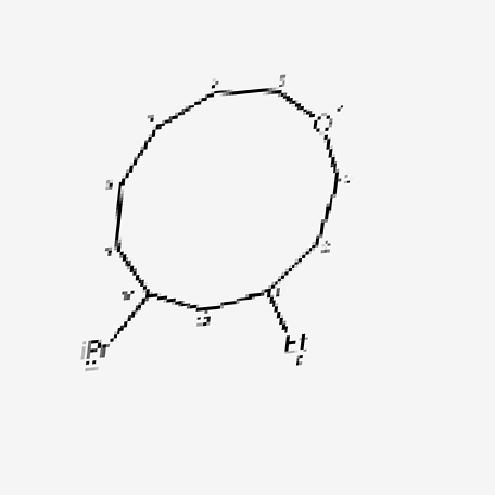 CCC1CCOCCCCCC(C(C)C)C1